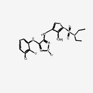 CCN(CC)S(=O)(=O)c1scc(Nc2n[s+]([O-])nc2Nc2cccc(Cl)c2Cl)c1O